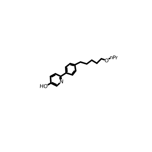 CCCOCCCCCc1ccc(-c2ccc(O)cn2)cc1